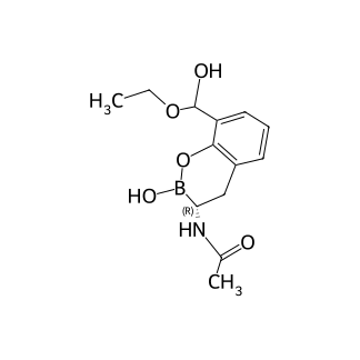 CCOC(O)c1cccc2c1OB(O)[C@@H](NC(C)=O)C2